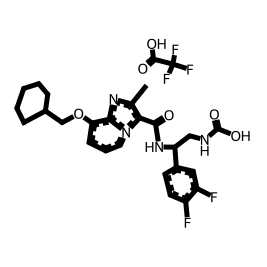 Cc1nc2c(OCC3CCCCC3)cccn2c1C(=O)NC(CNC(=O)O)c1ccc(F)c(F)c1.O=C(O)C(F)(F)F